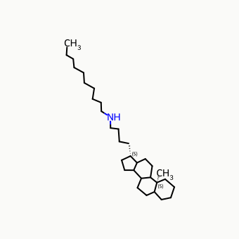 CCCCCCCCCCNCCCC[C@H]1CCC2C3CCC4CCCC[C@]4(C)C3CCC21